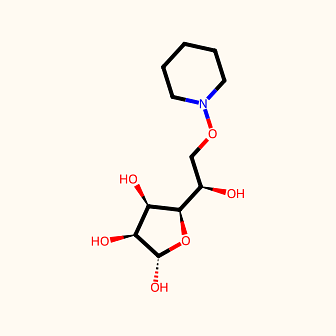 O[C@@H]1[C@H](O)[C@@H](O)O[C@@H]1[C@H](O)CON1CCCCC1